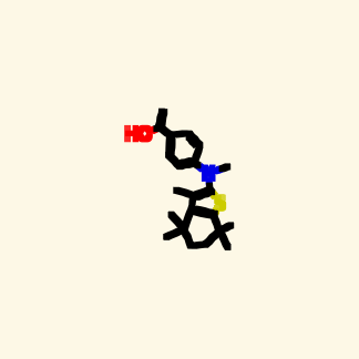 C=C(O)c1ccc(N(C)c2sc3c(c2C)C(C)(C)CCC3(C)C)cc1